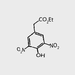 CCOC(=O)Cc1cc([N+](=O)[O-])c(O)c([N+](=O)[O-])c1